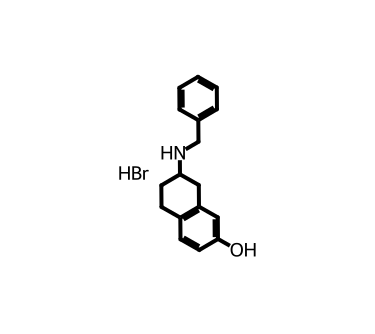 Br.Oc1ccc2c(c1)CC(NCc1ccccc1)CC2